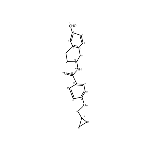 O=Cc1ccc2c(c1)CC[C@H](NC(=O)c1ccc(OCC3CC3)cc1)C2